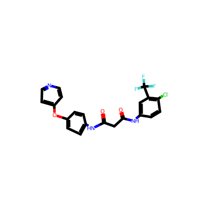 O=C(CC(=O)Nc1ccc(Cl)c(C(F)(F)F)c1)Nc1ccc(Oc2ccncc2)cc1